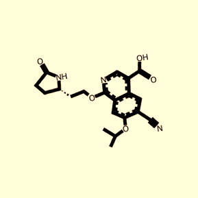 CC(C)Oc1cc2c(OCC[C@@H]3CCC(=O)N3)ncc(C(=O)O)c2cc1C#N